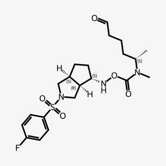 C[C@@H](CCCC=O)N(C)C(=O)ON[C@H]1CC[C@@H]2CN(S(=O)(=O)c3ccc(F)cc3)C[C@@H]21